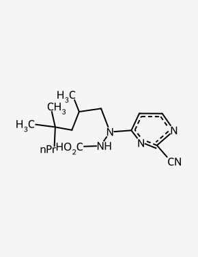 CCCC(C)(C)CC(C)CN(NC(=O)O)c1ccnc(C#N)n1